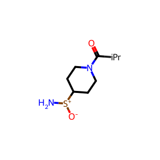 CC(C)C(=O)N1CCC([S+](N)[O-])CC1